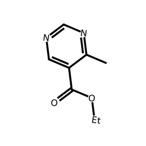 CCOC(=O)c1cncnc1C